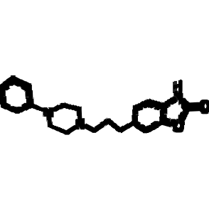 O=c1[nH]c2ccc(CCCN3CCN(c4ccccc4)CC3)cc2o1